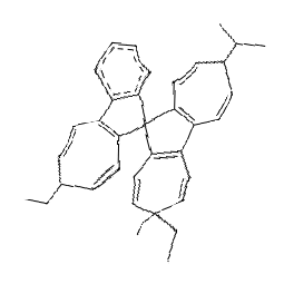 CCC1C=CC2=C(C=C1)C1(C3=C(C=CC(C(C)C)C=C3)C3=C1C=CC(C)(CC)C=C3)c1ccccc12